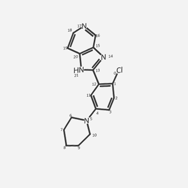 Clc1ccc(N2CCCCC2)cc1-c1nc2cnccc2[nH]1